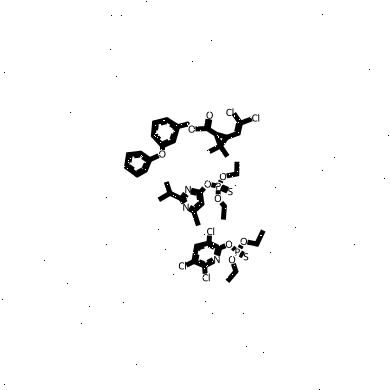 CC1(C)C(C=C(Cl)Cl)C1C(=O)OCc1cccc(Oc2ccccc2)c1.CCOP(=S)(OCC)Oc1cc(C)nc(C(C)C)n1.CCOP(=S)(OCC)Oc1nc(Cl)c(Cl)cc1Cl